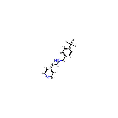 CC(C)(C)c1ccc(CNCCc2ccncc2)cc1